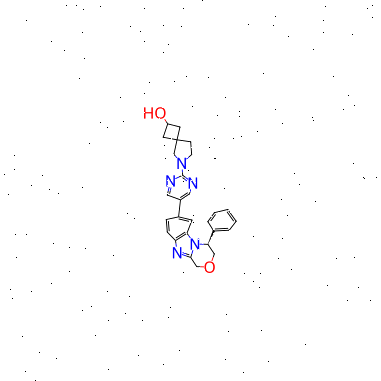 OC1CC2(CCN(c3ncc(-c4ccc5nc6n(c5c4)[C@@H](c4ccccc4)COC6)cn3)C2)C1